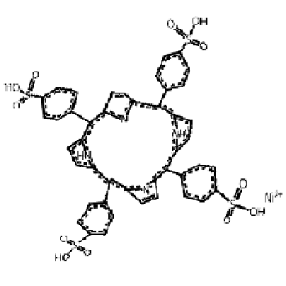 O=S(=O)(O)c1ccc(-c2c3nc(c(-c4ccc(S(=O)(=O)O)cc4)c4ccc([nH]4)c(-c4ccc(S(=O)(=O)O)cc4)c4nc(c(-c5ccc(S(=O)(=O)O)cc5)c5ccc2[nH]5)C=C4)C=C3)cc1.[Ni+2]